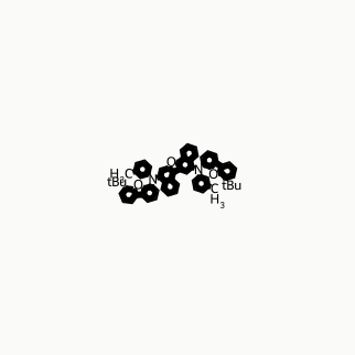 Cc1cccc(N(c2cc3c(oc4cc(N(c5cccc(C)c5)c5cccc6c5oc5c(C(C)(C)C)cccc56)c5ccccc5c43)c3ccccc23)c2cccc3c2oc2c(C(C)(C)C)cccc23)c1